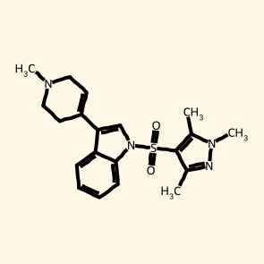 Cc1nn(C)c(C)c1S(=O)(=O)n1cc(C2=CCN(C)CC2)c2ccccc21